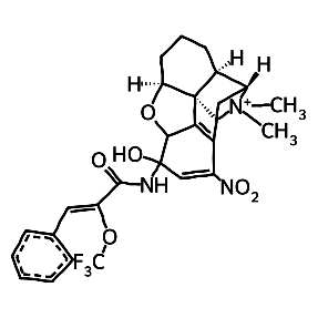 C[N+]1(C)CC[C@@]23C4=C5C[C@@H]1[C@@H]2CCC[C@@H]3OC4C(O)(NC(=O)C(=Cc1ccccc1)OC(F)(F)F)C=C5[N+](=O)[O-]